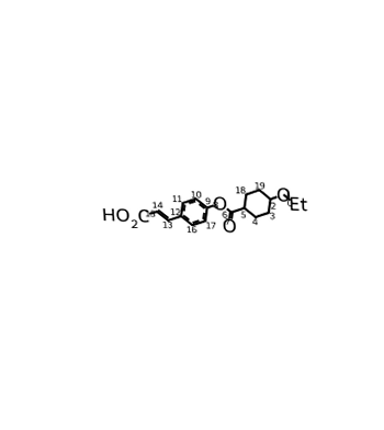 CCOC1CCC(C(=O)Oc2ccc(/C=C/C(=O)O)cc2)CC1